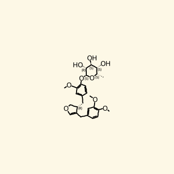 COc1ccc(CC2=COC[C@@H]2Cc2ccc(O[C@@H]3O[C@@H](C)[C@@H](O)[C@H](O)[C@H]3O)c(OC)c2)cc1OC